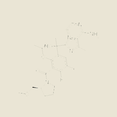 COC[C@@H]1CCCN1C(=O)c1c(F)c(Cl)cc(C(C)(O)c2nc(C)c3c(N)nccn23)c1OC(C)C